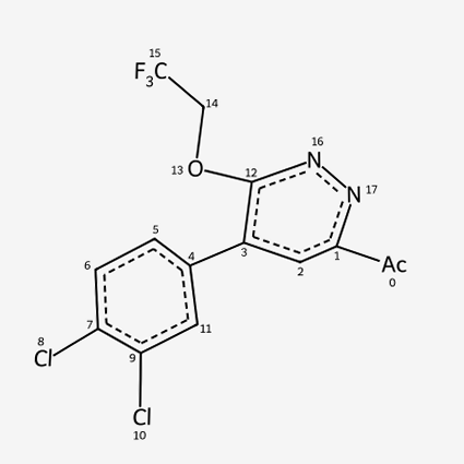 CC(=O)c1cc(-c2ccc(Cl)c(Cl)c2)c(OCC(F)(F)F)nn1